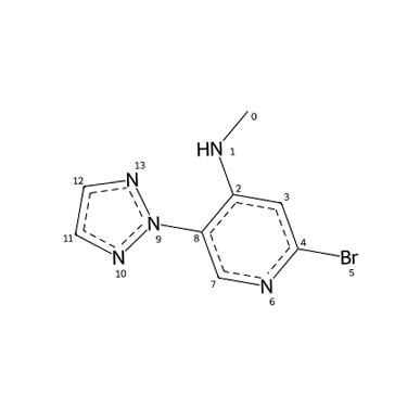 CNc1cc(Br)ncc1-n1nccn1